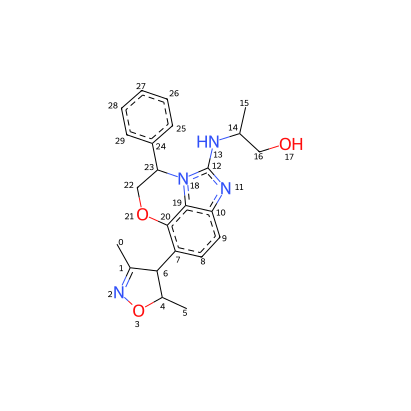 CC1=NOC(C)C1c1ccc2nc(NC(C)CO)n3c2c1OCC3c1ccccc1